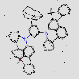 CC1(C)c2ccccc2-c2ccc(N(c3cc(N(c4ccc5c(c4)C(C)(C)c4ccccc4-5)c4ccccc4-c4ccccc4)cc(C45CC6CC(CC(C6)C4)C5)c3)c3ccccc3-c3ccccc3)cc21